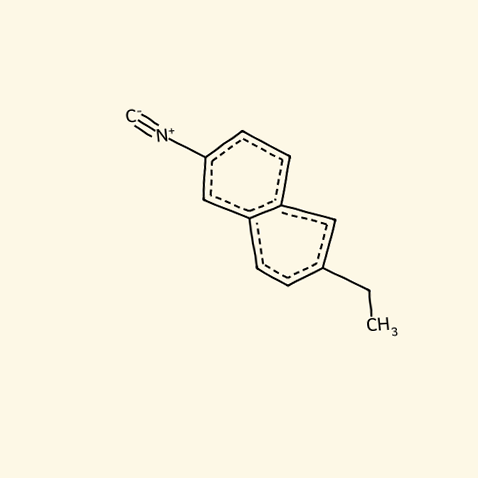 [C-]#[N+]c1ccc2cc(CC)ccc2c1